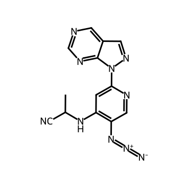 CC(C#N)Nc1cc(-n2ncc3cncnc32)ncc1N=[N+]=[N-]